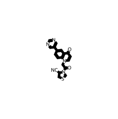 N#CC1CSCN1C(=O)Cn1ccc(=O)c2cc(-c3cncnc3)ccc21